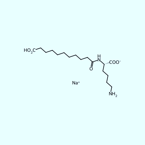 NCCCC[C@H](NC(=O)CCCCCCCCCC(=O)O)C(=O)[O-].[Na+]